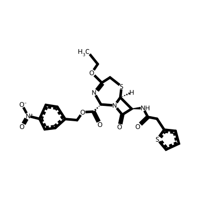 CCOC1=N[C@@H](C(=O)OCc2ccc([N+](=O)[O-])cc2)N2C(=O)[C@H](NC(=O)Cc3cccs3)[C@@H]2SC1